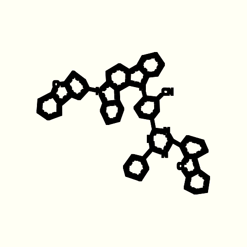 N#Cc1cc(-c2nc(-c3ccccc3)nc(-c3cccc4c3oc3ccccc34)n2)ccc1-n1c2ccccc2c2ccc3c(c4ccccc4n3-c3ccc4oc5ccccc5c4c3)c21